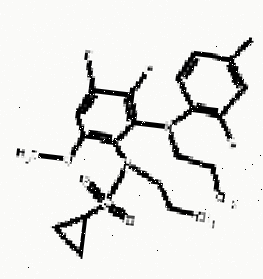 CCCN(c1ccc(I)cc1F)c1c(F)c(F)cc(OC)c1N(CCC)S(=O)(=O)C1CC1